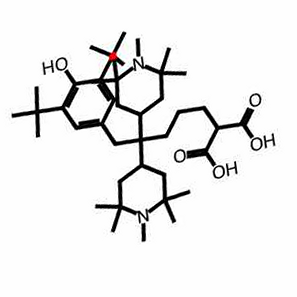 CN1C(C)(C)CC(C(CCCC(C(=O)O)C(=O)O)(Cc2cc(C(C)(C)C)c(O)c(C(C)(C)C)c2)C2CC(C)(C)N(C)C(C)(C)C2)CC1(C)C